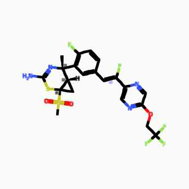 C[C@]1(c2cc(/C=C(\F)c3cnc(OCC(F)(F)F)cn3)ccc2F)N=C(N)S[C@@]2(S(C)(=O)=O)C[C@H]21